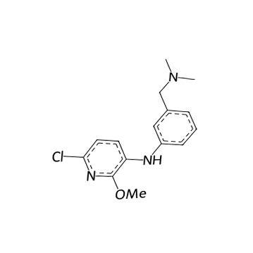 COc1nc(Cl)ccc1Nc1cccc(CN(C)C)c1